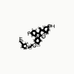 CC1=C(c2ccc(F)cc2)C(c2ccc(OCCN3CCC(CF)C3)cc2)Oc2ccc(O)cc21